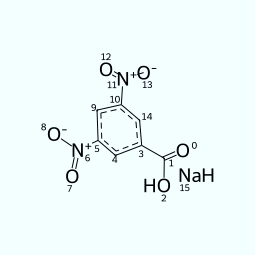 O=C(O)c1cc([N+](=O)[O-])cc([N+](=O)[O-])c1.[NaH]